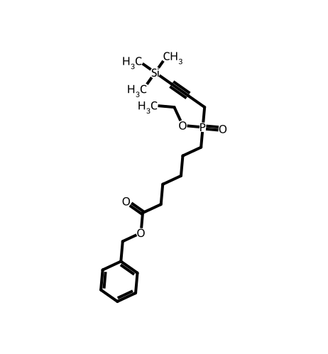 CCOP(=O)(CC#C[Si](C)(C)C)CCCCCC(=O)OCc1ccccc1